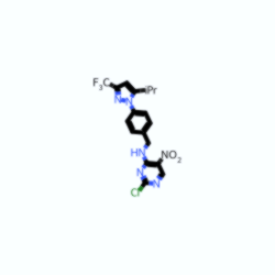 CC(C)c1cc(C(F)(F)F)nn1-c1ccc(CNc2nc(Cl)ncc2[N+](=O)[O-])cc1